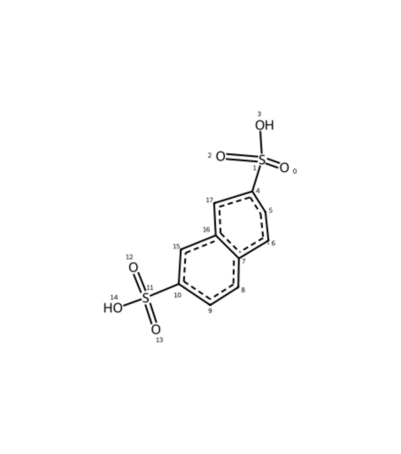 O=S(=O)(O)c1c[c]c2ccc(S(=O)(=O)O)cc2c1